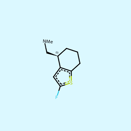 CNC[C@H]1CCCc2sc(F)cc21